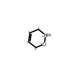 [CH]1C=CCNO1